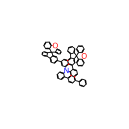 c1ccc(-c2ccc(-c3ccccc3N(c3cccc(-c4ccc5c(c4)C4(c6ccccc6Oc6ccccc64)c4ccccc4-5)c3)c3ccccc3-c3ccc4c(c3)C3(c5ccccc5Oc5ccccc53)c3ccccc3-4)cc2)cc1